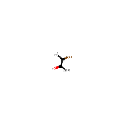 CCCC(=O)C(S)CC